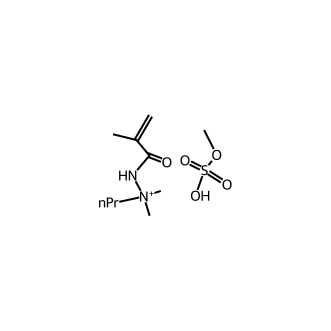 C=C(C)C(=O)N[N+](C)(C)CCC.COS(=O)(=O)O